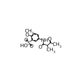 COc1ccc(NC(=O)C(C)C(C)=O)cc1S(=O)(=O)O